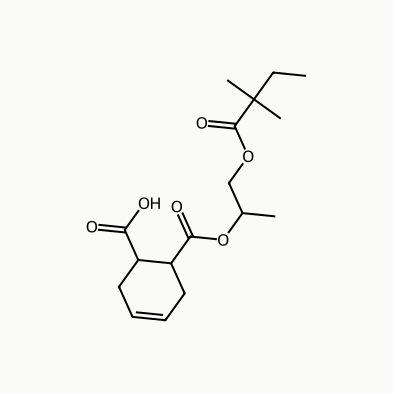 CCC(C)(C)C(=O)OCC(C)OC(=O)C1CC=CCC1C(=O)O